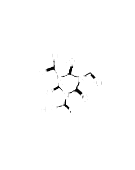 CC(=O)n1c(=O)n(C=O)c(=O)n(C(C)=O)c1=O